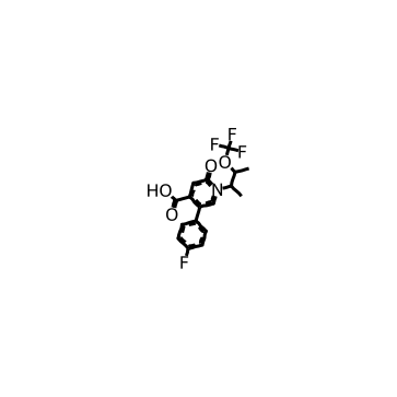 CC(OC(F)(F)F)C(C)n1cc(-c2ccc(F)cc2)c(C(=O)O)cc1=O